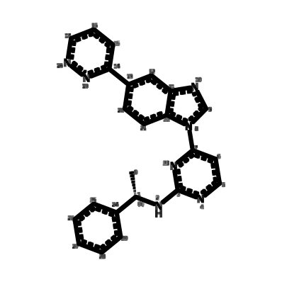 C[C@H](Nc1nccc(-n2cnc3cc(-c4cccnn4)ccc32)n1)c1ccccc1